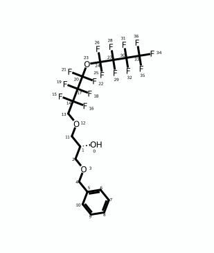 O[C@H](COCc1ccccc1)COCC(F)(F)C(F)(F)C(F)(F)OC(F)(F)C(F)(F)C(F)(F)C(F)(F)F